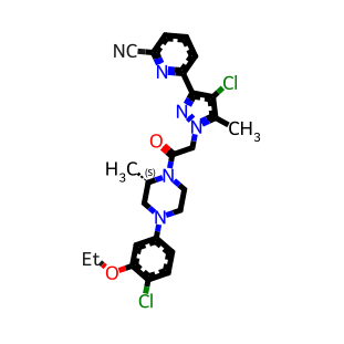 CCOc1cc(N2CCN(C(=O)Cn3nc(-c4cccc(C#N)n4)c(Cl)c3C)[C@@H](C)C2)ccc1Cl